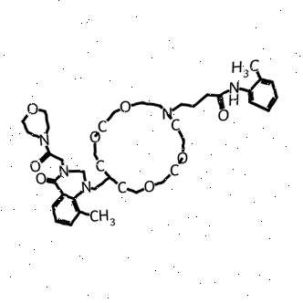 Cc1ccccc1NC(=O)CCCN1CCOCCOCCC(CN2CN(CC(=O)N3CCOCC3)C(=O)c3cccc(C)c32)CCOCCOCC1